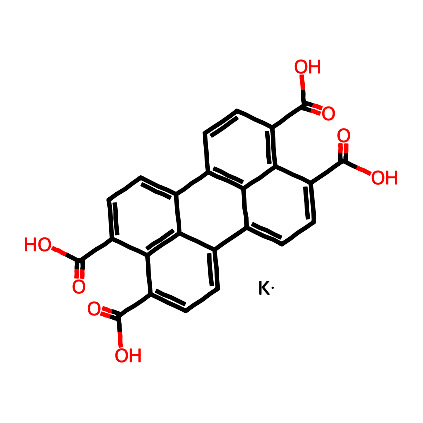 O=C(O)c1ccc2c3ccc(C(=O)O)c4c(C(=O)O)ccc(c5ccc(C(=O)O)c1c25)c43.[K]